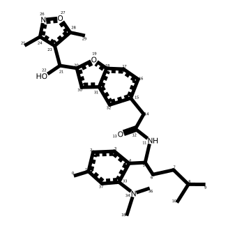 Cc1ccc(C(CCC(C)C)NC(=O)Cc2ccc3oc(C(O)c4c(C)noc4C)cc3c2)c(N(C)C)c1